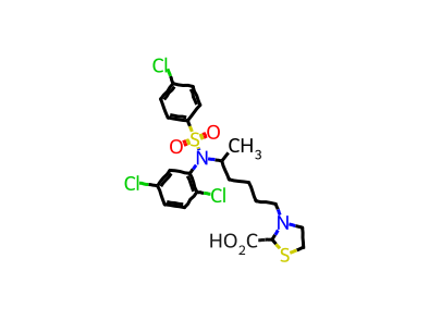 CC(CCCCN1CCSC1C(=O)O)N(c1cc(Cl)ccc1Cl)S(=O)(=O)c1ccc(Cl)cc1